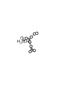 CC1(C)C2=C(C=CCC2)c2ccc(N(c3ccc(-c4ccc(-n5c6ccccc6c6ccccc65)cc4)cc3)c3ccc(-c4ccc5ccccc5c4)cc3)cc21